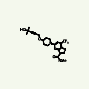 CNC(=O)c1csc2c(C(F)(F)F)cc(N3CCC(OCC#CC(C)(C)O)CC3)nc12